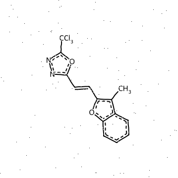 Cc1c(C=Cc2nnc(C(Cl)(Cl)Cl)o2)oc2ccccc12